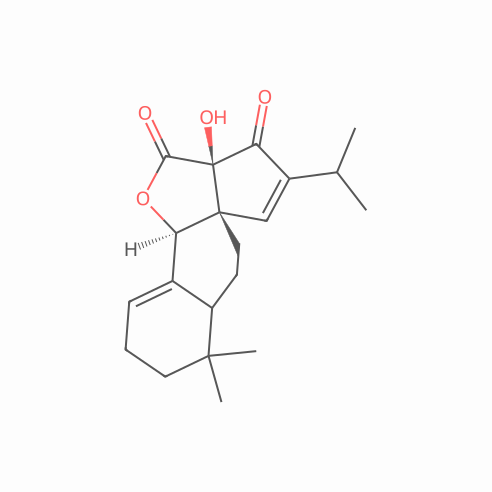 CC(C)C1=C[C@]23CCC4C(=CCCC4(C)C)[C@H]2OC(=O)[C@]3(O)C1=O